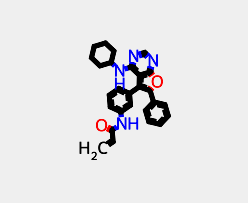 C=CC(=O)Nc1cccc(-c2c(-c3ccccc3)oc3ncnc(NC4CCCCC4)c23)c1